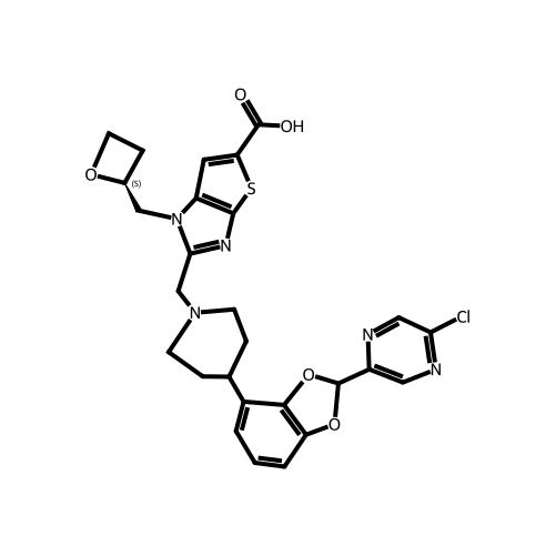 O=C(O)c1cc2c(nc(CN3CCC(c4cccc5c4OC(c4cnc(Cl)cn4)O5)CC3)n2C[C@@H]2CCO2)s1